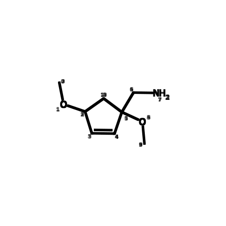 COC1C=CC(CN)(OC)C1